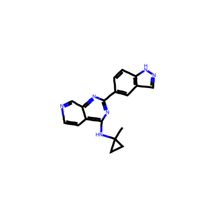 CC1(Nc2nc(-c3ccc4[nH]ncc4c3)nc3cnccc23)CC1